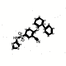 N#Cc1cc(S(=O)(=O)Nc2cscn2)ccc1Oc1ccccc1-c1ccccc1